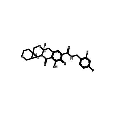 O=C(NCc1ccc(F)cc1F)c1cn2c(c(O)c1=O)C(=O)N1[C@H](C2)OCC23CCOCC2[C@@H]13